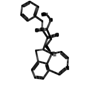 CC(C)(C)OC(=O)CC[N@@+]12C=CN=Cc3cccc(c31)CC2C(=O)OCc1ccccc1